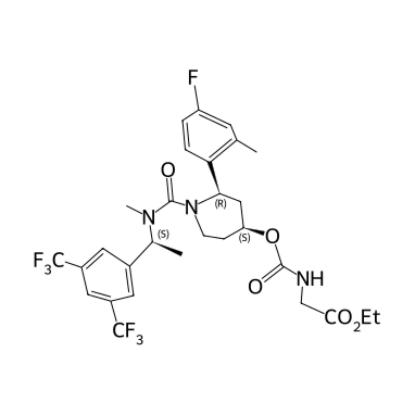 CCOC(=O)CNC(=O)O[C@H]1CCN(C(=O)N(C)[C@@H](C)c2cc(C(F)(F)F)cc(C(F)(F)F)c2)[C@@H](c2ccc(F)cc2C)C1